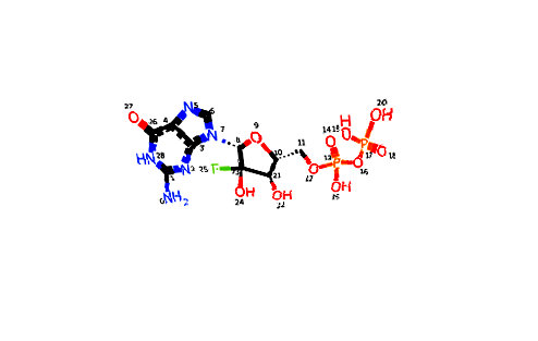 Nc1nc2c(ncn2[C@@H]2O[C@H](COP(=O)(O)OP(=O)(O)O)[C@@H](O)[C@]2(O)F)c(=O)[nH]1